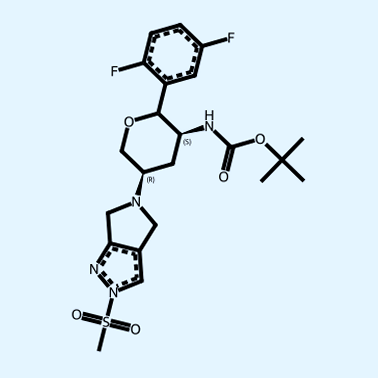 CC(C)(C)OC(=O)N[C@H]1C[C@@H](N2Cc3cn(S(C)(=O)=O)nc3C2)COC1c1cc(F)ccc1F